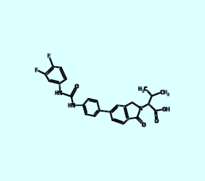 CC(C)C(C(=O)O)N1Cc2cc(-c3ccc(NC(=O)Nc4ccc(F)c(F)c4)cc3)ccc2C1=O